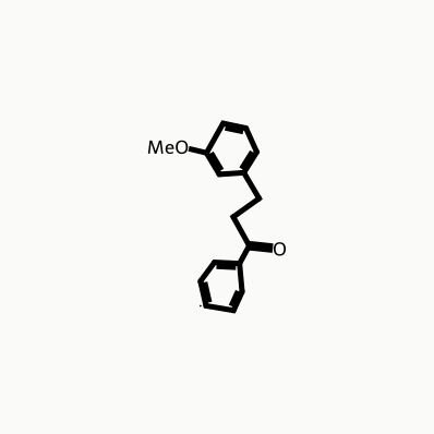 COc1cccc(CCC(=O)c2cc[c]cc2)c1